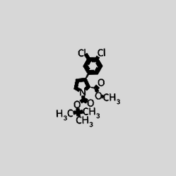 COC(=O)[C@H]1[C@H](c2ccc(Cl)c(Cl)c2)CCN1C(=O)OC(C)(C)C